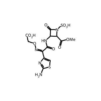 COC(=O)C1C(NC(=O)/C(=N\OCC(=O)O)c2csc(N)n2)C(=O)N1S(=O)(=O)O